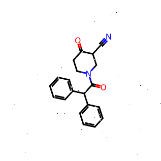 N#CC1CN(C(=O)C(c2ccccc2)c2ccccc2)CCC1=O